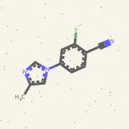 Cc1cn(-c2ccc(C#N)c(F)c2)cn1